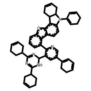 C1=CCCC(c2cnc(-c3cccc4oc5c6c(ccc5c34)N(C3=CCCC=C3)C3CC=CCC63)c(C3N=C(C4CC=CCC4)N=C(C4CC=CCC4)N3)c2)=C1